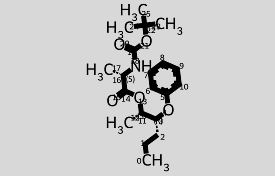 CCC[C@@H](Oc1ccccc1)[C@H](C)OC(=O)[C@H](C)NC(=O)OC(C)(C)C